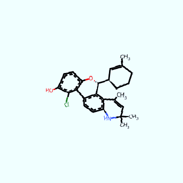 CC1=C[C@H]([C@H]2Oc3ccc(O)c(Cl)c3-c3ccc4c(c32)C(C)=CC(C)(C)N4)CCC1